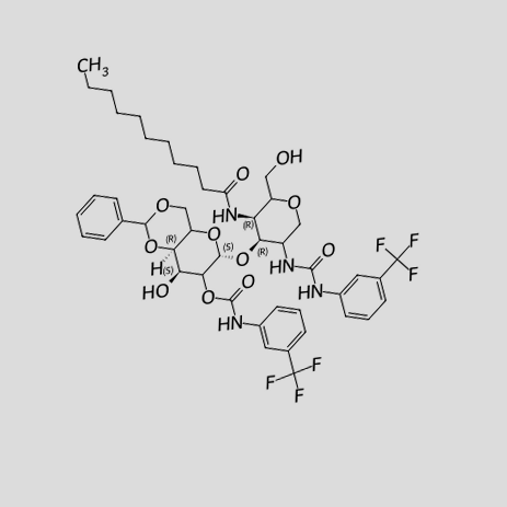 CCCCCCCCCCC(=O)N[C@H]1C(CO)OCC(NC(=O)Nc2cccc(C(F)(F)F)c2)[C@H]1O[C@H]1OC2COC(c3ccccc3)O[C@@H]2[C@H](O)C1OC(=O)Nc1cccc(C(F)(F)F)c1